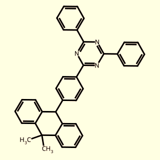 CC1(C)c2ccccc2C(c2ccc(-c3nc(-c4ccccc4)nc(-c4ccccc4)n3)cc2)c2ccccc21